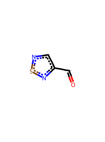 O=[C]c1cnsn1